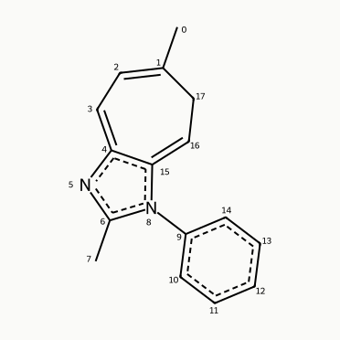 CC1=CC=c2nc(C)n(-c3ccccc3)c2=CC1